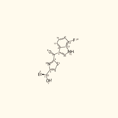 CC[C@H](O)c1csc(C(=O)c2c[nH]c3c(F)cccc23)n1